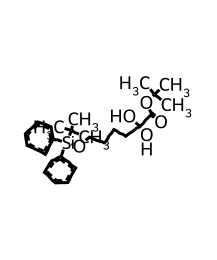 CC(C)(C)OC(=O)C(O)(O)CCCCO[Si](c1ccccc1)(c1ccccc1)C(C)(C)C